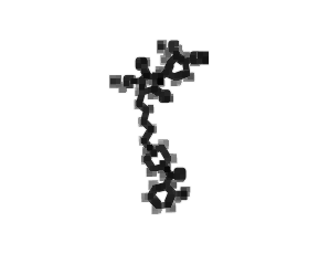 CC1=C(CCCCCN2CCN(C(=O)c3ccccc3F)CC2)C(=O)N(c2ccc(C#N)c(C(F)(F)F)c2)C1=O